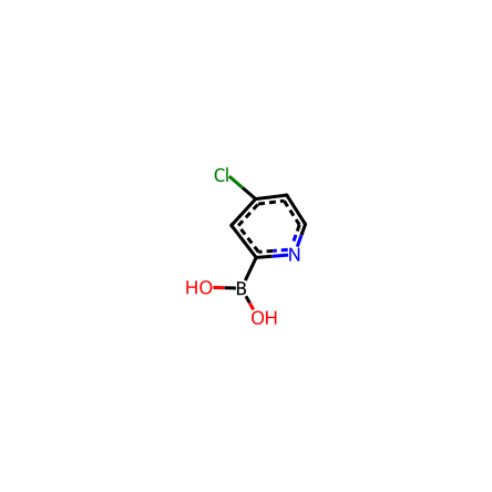 OB(O)c1cc(Cl)ccn1